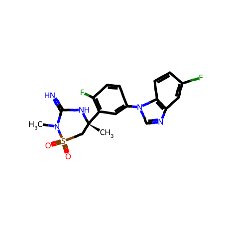 CN1C(=N)N[C@](C)(c2cc(-n3cnc4cc(F)ccc43)ccc2F)CS1(=O)=O